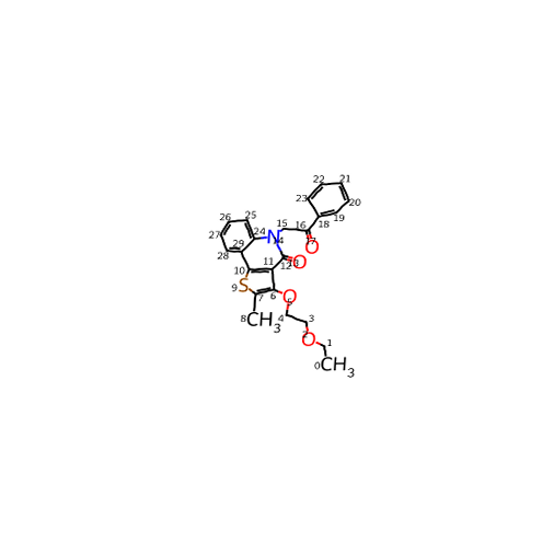 CCOCCOc1c(C)sc2c1c(=O)n(CC(=O)c1ccccc1)c1ccccc21